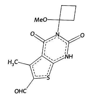 COC1(n2c(=O)[nH]c3sc(C=O)c(C)c3c2=O)CCC1